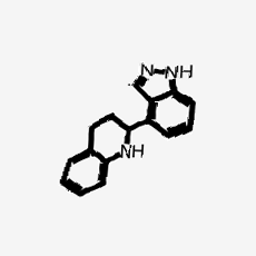 [c]1n[nH]c2cccc(C3CCc4ccccc4N3)c12